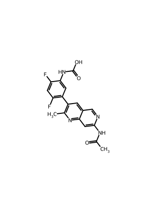 CC(=O)Nc1cc2nc(C)c(-c3cc(NC(=O)O)c(F)cc3F)cc2cn1